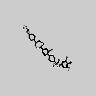 CC/C=C/C1CCC(C2COC(c3ccc(C4CCC(C(F)(F)Oc5cc(F)c(F)c(F)c5)CC4)c(F)c3)OC2)CC1